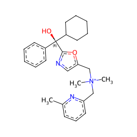 Cc1cccc(C[N+](C)(C)Cc2cnc([C@](O)(c3ccccc3)C3CCCCC3)o2)n1